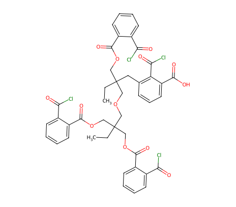 CCC(COCC(CC)(COC(=O)c1ccccc1C(=O)Cl)Cc1cccc(C(=O)O)c1C(=O)Cl)(COC(=O)c1ccccc1C(=O)Cl)COC(=O)c1ccccc1C(=O)Cl